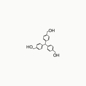 OCc1ccc(C(c2ccc(CO)cc2)c2ccc(CO)cc2)cc1